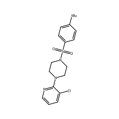 CC(C)(C)c1ccc(S(=O)(=O)N2CCN(c3ncccc3Cl)CC2)cc1